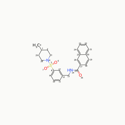 CC1CCN(S(=O)(=O)c2cccc(CNC(=O)c3ccc4ccccc4c3)c2)CC1